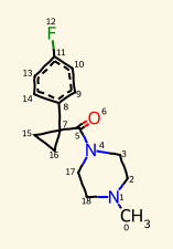 CN1CCN(C(=O)C2(c3ccc(F)cc3)CC2)CC1